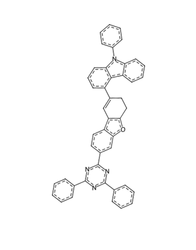 C1=C(c2cccc3c2c2ccccc2n3-c2ccccc2)CCc2oc3cc(-c4nc(-c5ccccc5)nc(-c5ccccc5)n4)ccc3c21